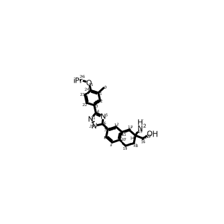 Cc1cc(C2=NC(c3ccc4c(c3)CC(N)(CO)CC4)N=N2)ccc1OC(C)C